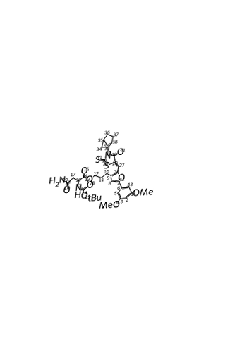 COc1cc(OC)cc(-c2cc(CCCOC(=O)[C@H](CC(N)=O)NC(=O)OC(C)(C)C)c(/C=C3\SC(=S)N(C4CC5CCC4C5)C3=O)o2)c1